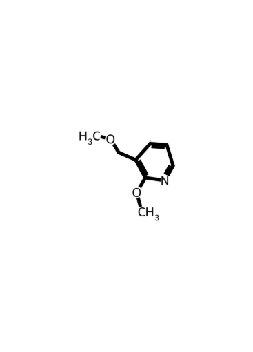 COCc1[c]ccnc1OC